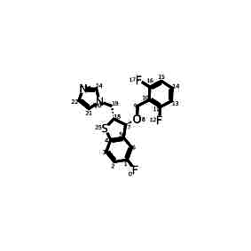 Fc1ccc2c(c1)[C@@H](OCc1c(F)cccc1F)[C@@H](Cn1ccnc1)S2